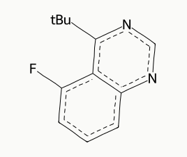 CC(C)(C)c1ncnc2cccc(F)c12